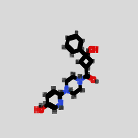 O=C(C1CC(O)(c2ccccc2)C1)N1CCN(c2ccc(O)cn2)CC1